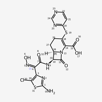 Nc1nc(/C(=N/O)C(=O)N[C@@H]2C(=O)N3C(C(=O)O)=C(Sc4ccncn4)CC[C@H]23)c(Cl)s1